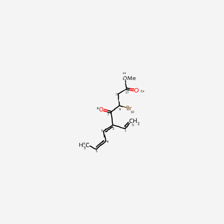 C=C/C(=C\C=C/C)C(=O)C(Br)CC(=O)OC